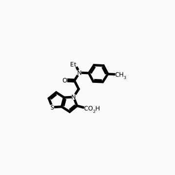 CCN(C(=O)Cn1c(C(=O)O)cc2sccc21)c1ccc(C)cc1